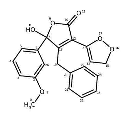 COc1cccc(C2(O)OC(=O)C(C3=CCOO3)=C2Cc2ccccc2)c1